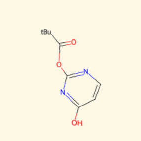 CC(C)(C)C(=O)Oc1nccc(O)n1